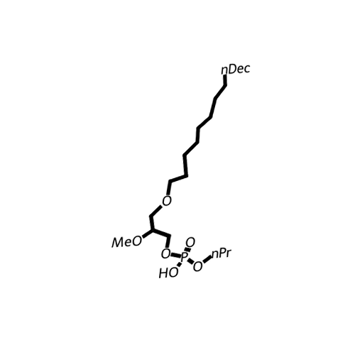 CCCCCCCCCCCCCCCCCCOCC(COP(=O)(O)OCCC)OC